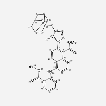 COC(=O)c1c(-c2cnn(CC34CC5CC(CC(C5)C3)C4)c2C)ccc2c(Nc3ncccc3C(=O)OC(C)(C)C)ccnc12